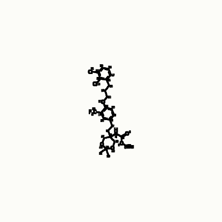 CC(C)(C)OC(=O)NC1(CCc2ccc(OCCCc3cccc(Cl)c3Cl)c(C(F)(F)F)c2)COC(C)(C)OC1